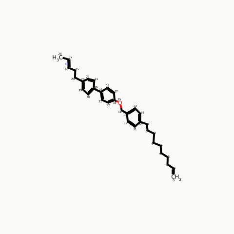 C=CCCCCCCCCc1ccc(COc2ccc(-c3ccc(CC/C=C/C)cc3)cc2)cc1